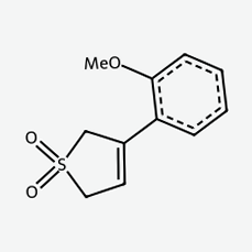 COc1ccccc1C1=CCS(=O)(=O)C1